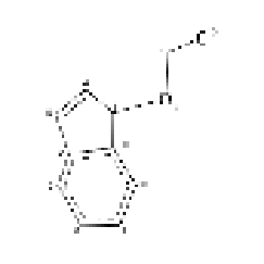 ClCOC1[C]=Cc2ccccc21